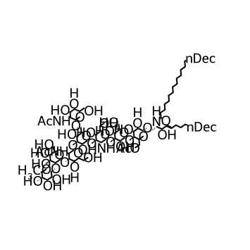 CCCCCCCCCCCCC/C=C/[C@@H](O)[C@H](CO[C@@H]1OC(CO)[C@@H](O[C@@H]2OC(CO)[C@H](O)[C@H](O[C@@H]3OC(CO)[C@@H](O)[C@H](O[C@@H]4OC(CO[C@@H]5OC(CO)[C@@H](O)[C@H](O)C5NC(C)=O)[C@H](O)[C@H](O[C@@H]5OC(CO)[C@@H](O)[C@H](O[C@@H]6OC(CO)[C@H](O)[C@H](O)C6O[C@H]6OC(C)[C@@H](O)C(O)[C@@H]6O)C5NC(C)=O)C4O)C3NC(C)=O)C2O)[C@H](O)C1O)NC(=O)CCCCCCCCCCCCCCCCCCCCCCC